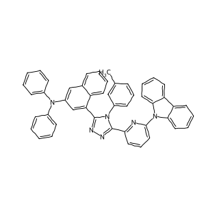 Cc1cccc(-n2c(-c3cccc(-n4c5ccccc5c5ccccc54)n3)nnc2-c2cc(N(c3ccccc3)c3ccccc3)cc3ccccc23)c1